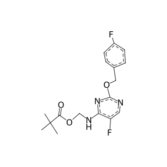 CC(C)(C)C(=O)OCNc1nc(OCc2ccc(F)cc2)ncc1F